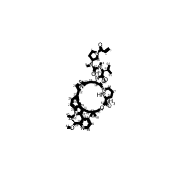 C=CC(=O)N1CC[C@H](N(C)C(=O)N(C)[C@H](C(=O)N[C@H]2Cc3nc(cs3)-c3ccc4c(c3)c(c(-c3cccnc3[C@H](C)OC)n4CC)CC(C)(C)COC(=O)[C@@]3([SiH3])CCCN(N3)C2=O)C(C)C)C1